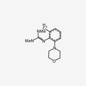 CNC(=Nc1c(C)cccc1N1CCOCC1)NC